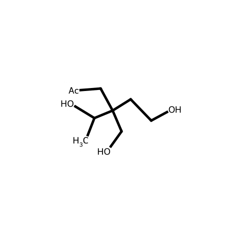 CC(=O)CC(CO)(CCO)C(C)O